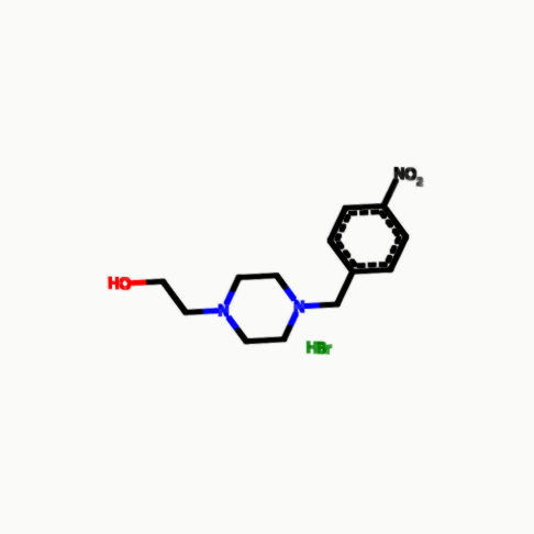 Br.O=[N+]([O-])c1ccc(CN2CCN(CCO)CC2)cc1